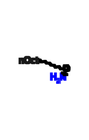 CCCCCCCCC=CCCCCCCCCc1ccccc1C(C)(C)N